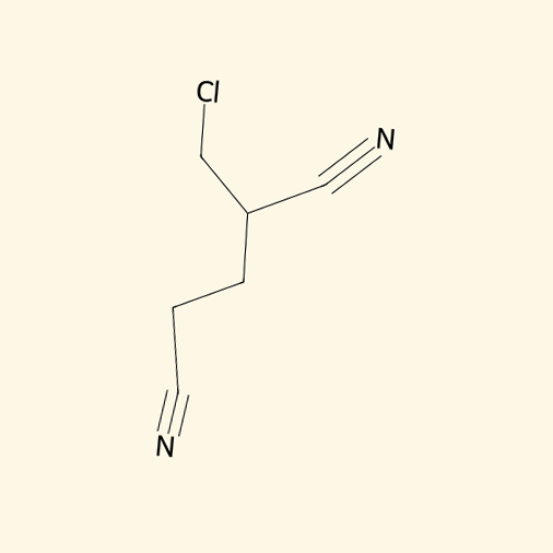 N#CCCC(C#N)CCl